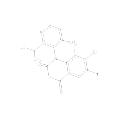 Cc1ccnc(C(C)C)c1N1C(=O)CC(=O)c2cc(F)c(Cl)c(F)c21